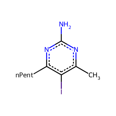 CCCCCc1nc(N)nc(C)c1I